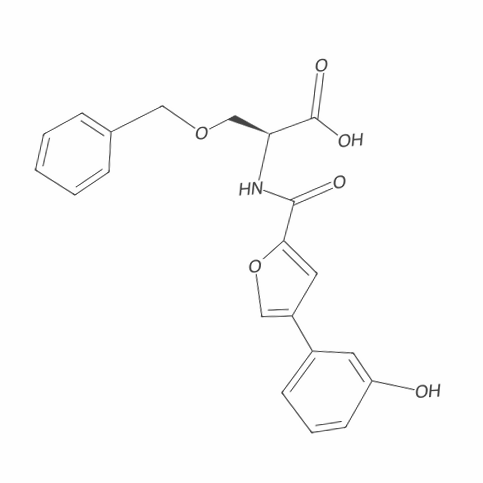 O=C(N[C@@H](COCc1ccccc1)C(=O)O)c1cc(-c2cccc(O)c2)co1